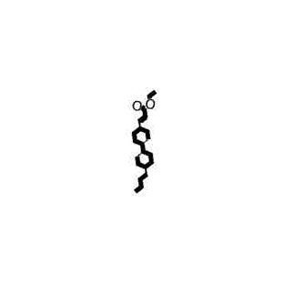 CCCC[C@H]1CC[C@H]([C@H]2CC[C@H](C=CC(=O)OCC)CC2)CC1